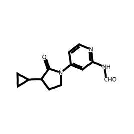 O=CNc1cc(N2CCC(C3CC3)C2=O)ccn1